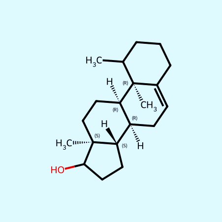 CC1CCCC2=CC[C@@H]3[C@@H](CC[C@]4(C)C(O)CC[C@@H]34)[C@]21C